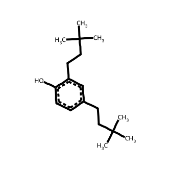 CC(C)(C)CCc1ccc(O)c(CCC(C)(C)C)c1